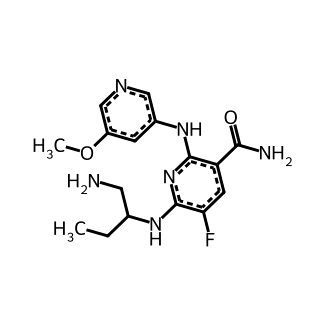 CCC(CN)Nc1nc(Nc2cncc(OC)c2)c(C(N)=O)cc1F